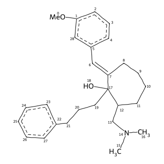 COc1cccc(/C=C2\CCCCC(CN(C)C)C2(O)CCCc2ccccc2)c1